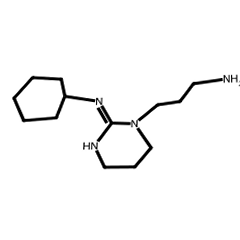 NCCCN1CCCN/C1=N\C1CCCCC1